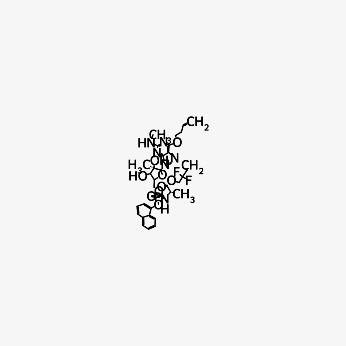 C=CCCOc1nc(NC)nc2c1ncn2C1OC(COP(=O)(N[C@@H](C)C(=O)OCC(F)(F)C=C)Oc2cccc3ccccc23)[C@@H](O)[C@@]1(C)O